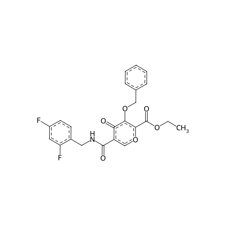 CCOC(=O)c1occ(C(=O)NCc2ccc(F)cc2F)c(=O)c1OCc1ccccc1